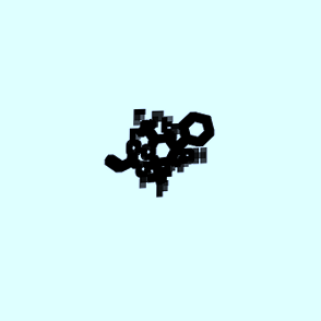 C=CC(=O)OC1(C(F)(F)F)OC(C(F)(F)F)C(F)(F)C(O)(C2CCCCC2)C1(F)F